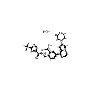 CC(C)(C)c1nc(C(=O)NCc2ccc(-c3ncnn4cc(N5CCOCC5)cc34)cc2C(F)F)no1.Cl